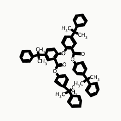 CC(C)(c1ccccc1)c1ccc(OC(=O)c2cc(C(C)(C)c3ccccc3)ccc2Oc2ccc(C(C)(C)c3ccccc3)cc2C(=O)Oc2ccc(C(C)(C)c3ccccc3)cc2)cc1